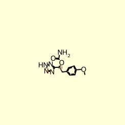 COc1ccc(C[C@H](OC(N)=O)c2nn[nH]n2)cc1